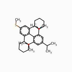 CSc1cc(C2CCCCC2)c(-c2c(C(C)C)cc(C(C)C)cc2C(C)C)c(C2CCCCC2)c1